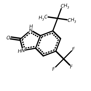 CC(C)(C)c1cc(C(F)(F)F)cc2[nH]c(=O)[nH]c12